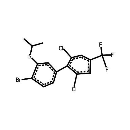 CC(C)Sc1cc(-c2c(Cl)cc(C(F)(F)F)cc2Cl)ccc1Br